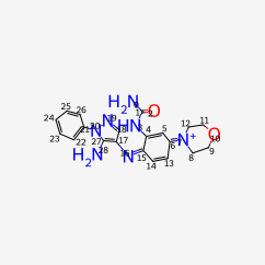 NC(=O)NC1=CC(=[N+]2CCOCC2)C=C/C1=N/c1cnn(-c2ccccc2)c1N